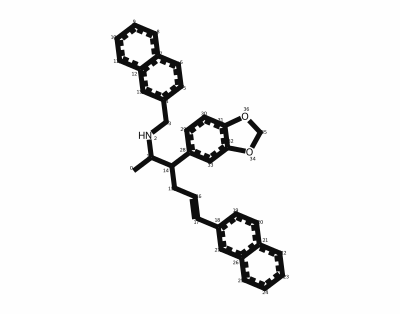 CC(NCc1ccc2ccccc2c1)C(CC=Cc1ccc2ccccc2c1)c1ccc2c(c1)OCO2